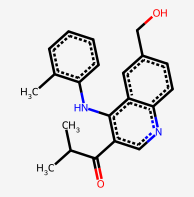 Cc1ccccc1Nc1c(C(=O)C(C)C)cnc2ccc(CO)cc12